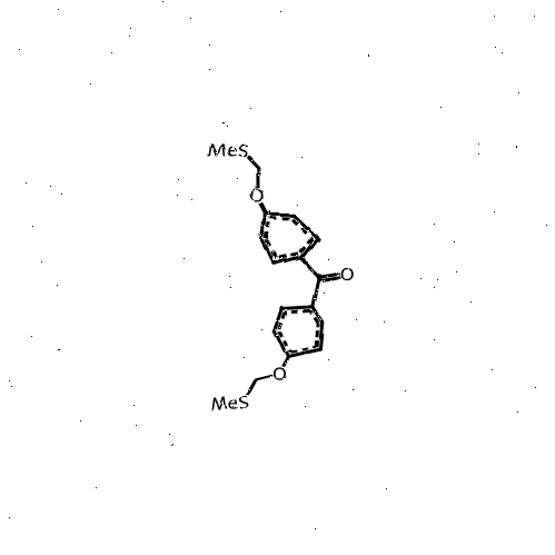 CSCOc1ccc(C(=O)c2ccc(OCSC)cc2)cc1